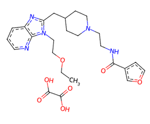 CCOCCn1c(CC2CCN(CCNC(=O)c3ccoc3)CC2)nc2cccnc21.O=C(O)C(=O)O